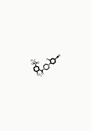 Cc1ccc(S(C)(=O)=O)cc1C(=O)N1CCN(c2ccc(C#N)cc2F)CC1